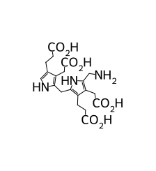 NCc1[nH]c(Cc2[nH]cc(CCC(=O)O)c2CC(=O)O)c(CCC(=O)O)c1CC(=O)O